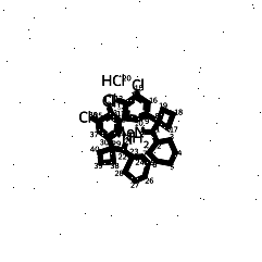 CNC(C1CCCCC1)C1(c2ccc(Cl)c(Cl)c2)CCC1.Cl.NC(C1CCCCC1)C1(c2ccc(Cl)c(Cl)c2)CCC1